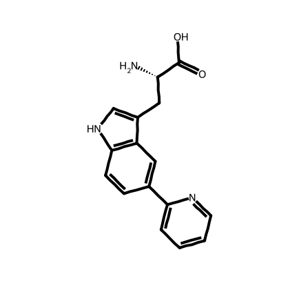 N[C@@H](Cc1c[nH]c2ccc(-c3ccccn3)cc12)C(=O)O